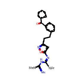 CNC(=N)NC(=Nc1cc(CCc2cccc(C(=O)c3ccccc3)c2)no1)NC